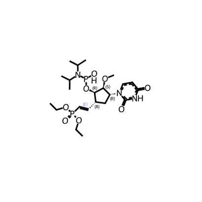 CCOP(=O)(/C=C/[C@H]1C[C@@H](n2ccc(=O)[nH]c2=O)[C@H](OC)[C@@H]1OP(O)N(C(C)C)C(C)C)OCC